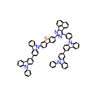 c1ccc(-n2c3ccccc3c3cc(-c4ccc5c(c4)c4ccccc4n5-c4cccc(-c5nc(-c6ccc7c(c6)sc6cc(-n8c9ccccc9c9cc(-c%10ccc%11c(c%10)c%10ccccc%10n%11-c%10ccccc%10)ccc98)ccc67)nc6c5-c5cccc7cccc-6c57)c4)ccc32)cc1